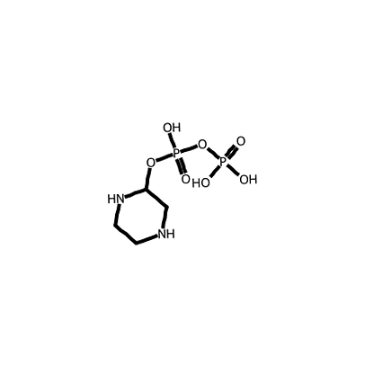 O=P(O)(O)OP(=O)(O)OC1CNCCN1